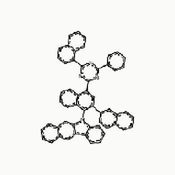 c1ccc(-c2nc(-c3cccc4ccccc34)nc(-c3cc(-c4ccc5ccccc5c4)c(-n4c5ccccc5c5cc6ccccc6cc54)c4ccccc34)n2)cc1